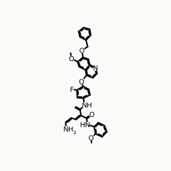 C=C(Nc1ccc(Oc2ccnc3cc(OCc4ccccc4)c(OC)cc23)c(F)c1)/C(=C\C=C/N)C(=O)Nc1ccccc1OC